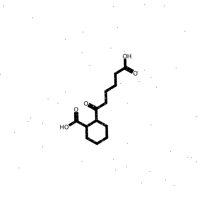 O=C(O)CCCCC(=O)C1CCCCC1C(=O)O